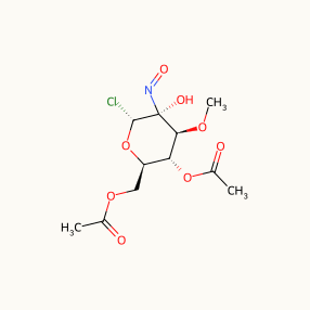 CO[C@H]1[C@H](OC(C)=O)[C@@H](COC(C)=O)O[C@H](Cl)[C@@]1(O)N=O